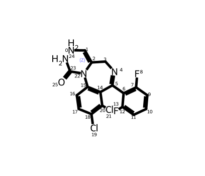 N/C=C1/CN=C(c2c(F)cccc2F)c2c(ccc(Cl)c2Cl)N1C(N)=O